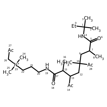 CCC(C)(C)NC(=O)C(C)CC(C)(CC(C(C)=O)C(C)C(=O)NCCC[N+](C)(C)CC(C)=O)C(C)=O